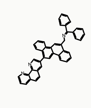 c1ccc(C(=NCc2cc3c4ccccc4c(-c4cnc5c(ccc6cccnc65)c4)cc3c3ccccc23)c2ccccc2)cc1